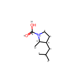 CC(C)CC1CCN(C(=O)O)C1C